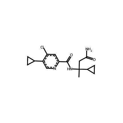 CC(CC(N)=O)(NC(=O)c1cc(Cl)c(C2CC2)cn1)C1CC1